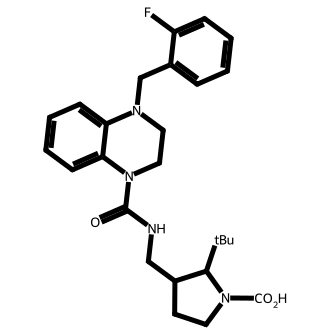 CC(C)(C)C1C(CNC(=O)N2CCN(Cc3ccccc3F)c3ccccc32)CCN1C(=O)O